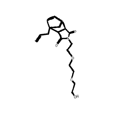 C=CCC12C=CC(C1)C1C(=O)N(CCOCCOCCO)C(=O)C12